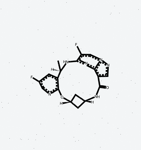 C[C@H]1Nc2nc3c(cnn3cc2F)C(=O)N[C@H]2C[C@H](C2)Oc2ncc(F)cc21